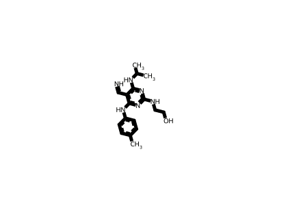 Cc1ccc(Nc2nc(NCCO)nc(NC(C)C)c2C=N)cc1